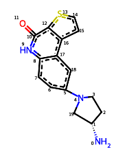 N[C@H]1CCN(c2ccc3[nH]c(=O)c4sccc4c3c2)C1